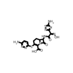 Nc1ccc(SC2=C(C(=O)O)N3C(=O)C(NC(=O)/C(=N\O)c4nsc(N)n4)C3CC2)nn1